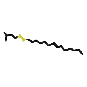 CCCCCC/C=C/CCCCCCSSCCC(C)C